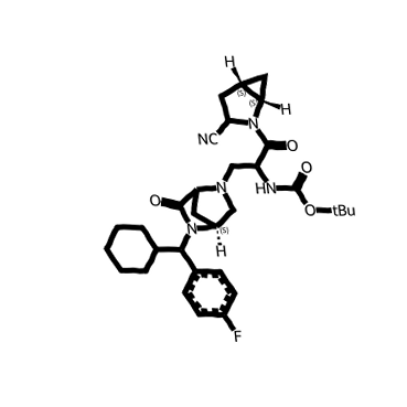 CC(C)(C)OC(=O)NC(CN1C[C@@H]2CC1C(=O)N2C(c1ccc(F)cc1)C1CCCCC1)C(=O)N1C(C#N)C[C@@H]2C[C@@H]21